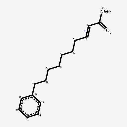 CNC(=O)/C=C/CCCCCCCc1ccccc1